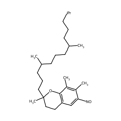 Cc1c(N=O)cc2c(c1C)OC(C)(CCCC(C)CCCC(C)CCCC(C)C)CC2